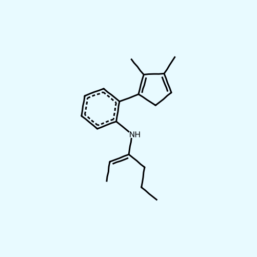 CC=C(CCC)Nc1ccccc1C1=C(C)C(C)=CC1